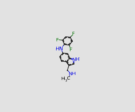 CNCc1c[nH]c2cc(Nc3c(F)cc(F)cc3F)ccc12